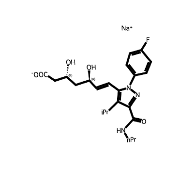 CCCNC(=O)c1nn(-c2ccc(F)cc2)c(C=C[C@H](O)C[C@@H](O)CC(=O)[O-])c1C(C)C.[Na+]